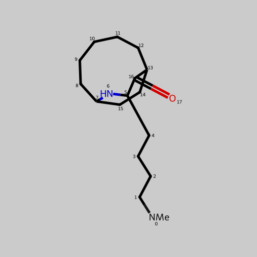 CNCCCCC1NC2CCCCCC(CC2)C1=O